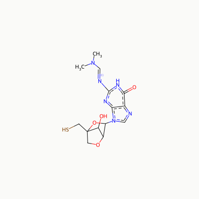 CN(C)/C=N/c1nc2c(ncn2C2OC3(CS)COC2C3O)c(=O)[nH]1